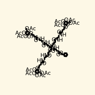 CC(=O)OC[C@H]1O[C@H](OCCCCC(=O)NCCCNC(=O)CCOCC(COCCC(=O)NCCCNC(=O)CCCCO[C@H]2O[C@H](COC(C)=O)[C@@H](OC(C)=O)[C@H](OC(C)=O)[C@@H]2OC(C)=O)(COCCC(=O)NCCCNC(=O)CCCCO[C@H]2O[C@H](COC(C)=O)[C@@H](OC(C)=O)[C@H](OC(C)=O)[C@@H]2OC(C)=O)NC(=O)CCCC(=O)OCc2ccccc2)[C@@H](OC(C)=O)[C@@H](OC(C)=O)[C@@H]1OC(C)=O